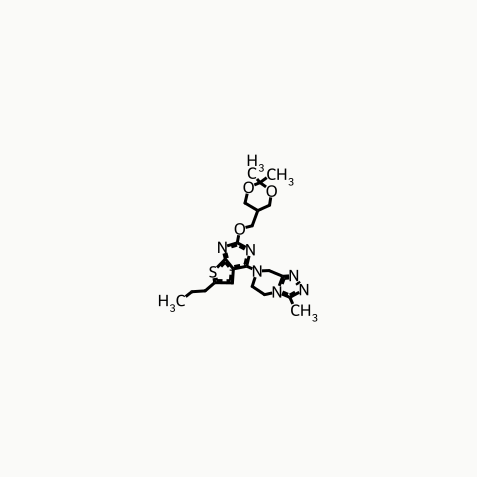 CCCc1cc2c(N3CCn4c(C)nnc4C3)nc(OCC3COC(C)(C)OC3)nc2s1